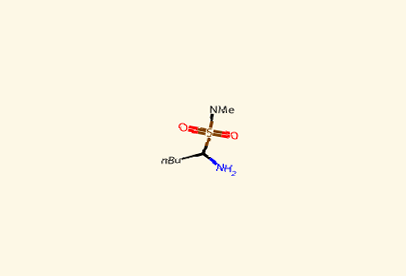 CCCCC(N)S(=O)(=O)NC